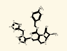 N[C@@H]1C(=O)N2C(C(=O)OCc3ccc([N+](=O)[O-])cc3)=C(CSc3nnnn3Cc3nnn[nH]3)COC12